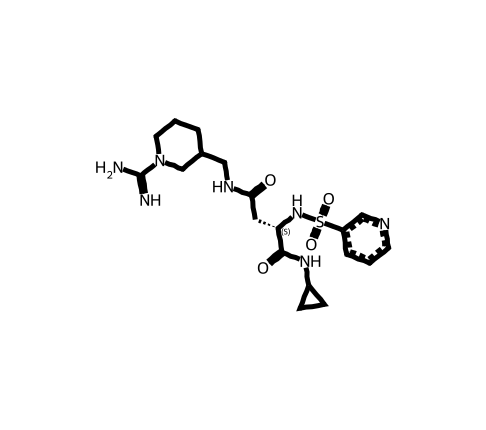 N=C(N)N1CCCC(CNC(=O)C[C@H](NS(=O)(=O)c2cccnc2)C(=O)NC2CC2)C1